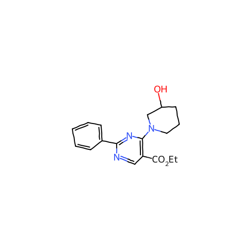 CCOC(=O)c1cnc(-c2ccccc2)nc1N1CCCC(O)C1